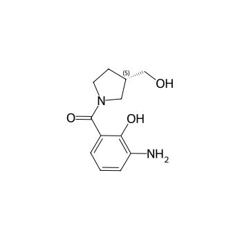 Nc1cccc(C(=O)N2CC[C@H](CO)C2)c1O